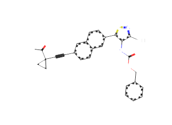 CC(=O)C1(C#Cc2ccc3cc(-c4snc(C)c4NC(=O)OCc4ccccc4)ccc3c2)CC1